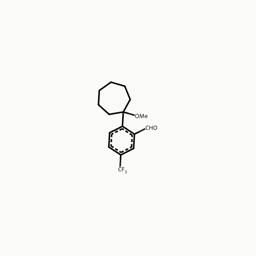 COC1(c2ccc(C(F)(F)F)cc2C=O)CCCCCC1